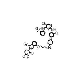 COc1cc(N2CCC(N(C)CCCCOc3cccc4c3CN(C3CCC(=O)NC3=O)C4=C=O)CC2)ccc1Nc1ncc(Cl)c(Nc2ccccc2P(C)(C)=O)n1